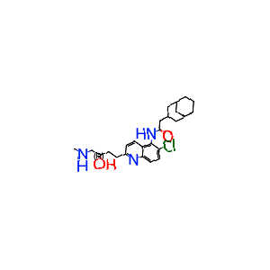 CNC[C@H](O)CCc1ccc2c(NC(=O)CC3CC4CCCC(C4)C3)c(Cl)ccc2n1